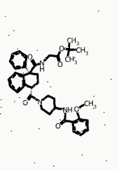 COc1ccccc1C(=O)NC1CCN(C(=O)[C@H]2CC[C@@](C(=O)NCC(=O)OC(C)(C)C)(c3ccccc3)c3ccccc32)CC1